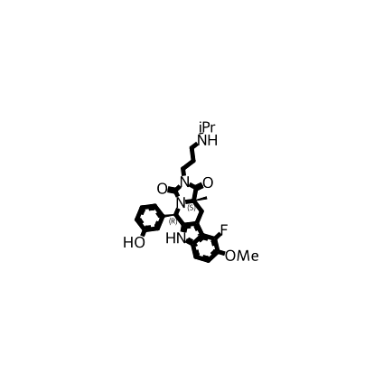 COc1ccc2[nH]c3c(c2c1F)C[C@@]1(C)C(=O)N(CCCNC(C)C)C(=O)N1[C@@H]3c1cccc(O)c1